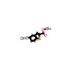 CC(C)(C)OC(=O)c1cc2cc(C=O)ccc2s1